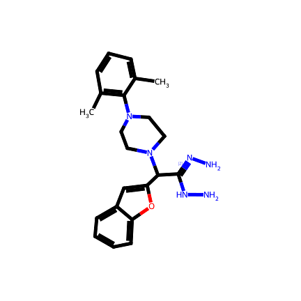 Cc1cccc(C)c1N1CCN(C(/C(=N/N)NN)c2cc3ccccc3o2)CC1